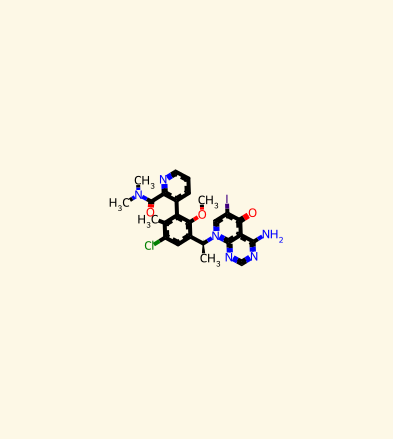 COc1c([C@H](C)n2cc(I)c(=O)c3c(N)ncnc32)cc(Cl)c(C)c1-c1cccnc1C(=O)N(C)C